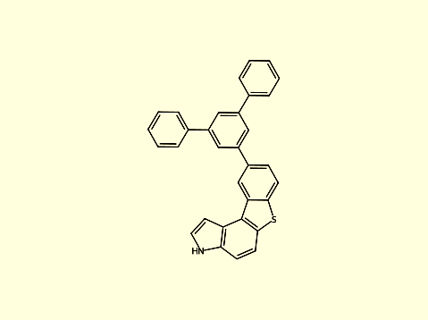 c1ccc(-c2cc(-c3ccccc3)cc(-c3ccc4sc5ccc6[nH]ccc6c5c4c3)c2)cc1